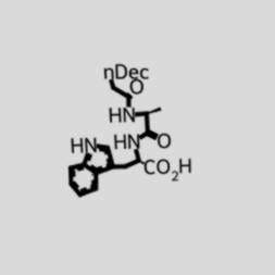 CCCCCCCCCCCC(=O)N[C@@H](C)C(=O)N[C@@H](Cc1c[nH]c2ccccc12)C(=O)O